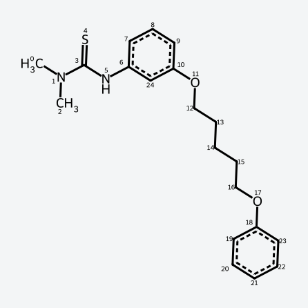 CN(C)C(=S)Nc1cccc(OCCCCCOc2ccccc2)c1